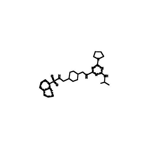 CC(C)Nc1nc(NCC2CCC(CNS(=O)(=O)c3cccc4ccccc34)CC2)nc(N2CCCC2)n1